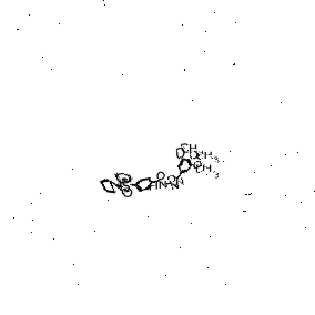 COc1cc(-c2nnc(NC(=O)c3ccc(S(=O)(=O)N4CCCC4)cc3)o2)cc(OC)c1OC